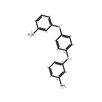 Nc1cccc(Sc2ccc(Sc3cccc(N)c3)cc2)c1